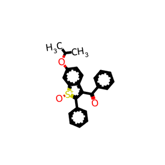 CC(C)Oc1ccc2c(C(=O)c3ccccc3)c(-c3ccccc3)[s+]([O-])c2c1